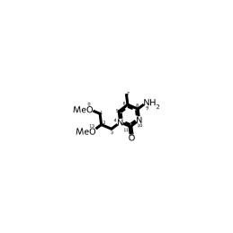 COCC(Cn1cc(C)c(N)nc1=O)OC